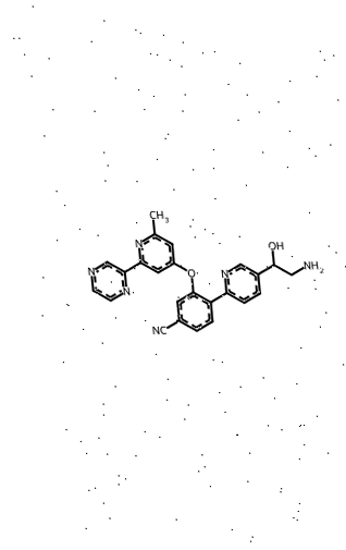 Cc1cc(Oc2cc(C#N)ccc2-c2ccc(C(O)CN)cn2)cc(-c2cnccn2)n1